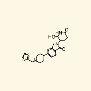 O=C1CCC(N2Cc3cc(C4CCN(Cc5nccs5)CC4)ccc3C2=O)C(O)N1